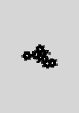 C[C@H](NP(=O)(Oc1c(Br)cccc1C(F)(F)F)Oc1cccc2ccccc12)C(=O)OCc1ccccc1